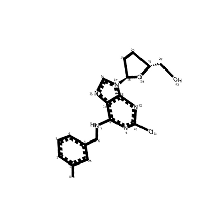 Cc1cccc(CNc2nc(Cl)nc3c2ncn3[C@H]2CC[C@H](CO)O2)c1